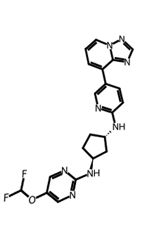 FC(F)Oc1cnc(N[C@H]2CC[C@H](Nc3ccc(-c4cccn5ncnc45)cn3)C2)nc1